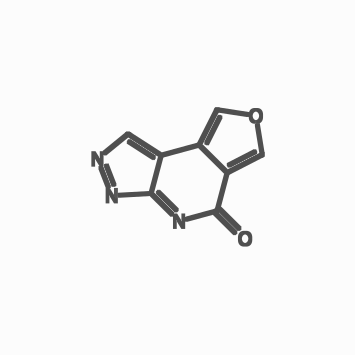 O=C1N=C2N=NC=C2c2cocc21